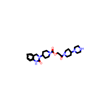 O=C(COC(=O)N1CCC(N2Cc3ccccc3NC2=O)CC1)N1CCC(N2CCNCC2)CC1